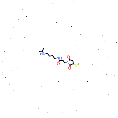 CSC1CC(=O)N(CCC(=O)NCCCCNC(C)C)C1=O